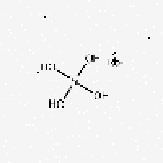 O[Si](O)(O)O.[Rb]